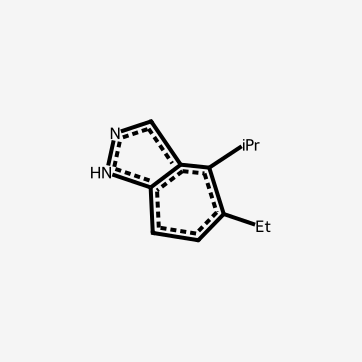 CCc1ccc2[nH]ncc2c1C(C)C